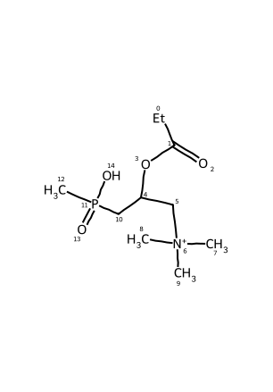 CCC(=O)OC(C[N+](C)(C)C)CP(C)(=O)O